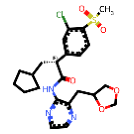 CS(=O)(=O)c1ccc([C@@H](CC2CCCC2)C(=O)Nc2nccnc2CC2COCO2)cc1Cl